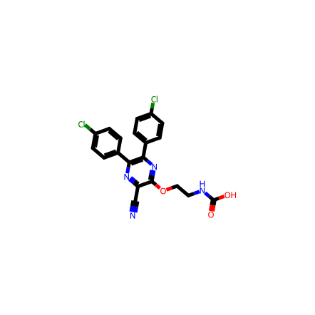 N#Cc1nc(-c2ccc(Cl)cc2)c(-c2ccc(Cl)cc2)nc1OCCNC(=O)O